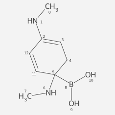 CNC1=CCC(NC)(B(O)O)C=C1